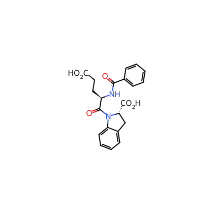 O=C(O)CC[C@@H](NC(=O)c1ccccc1)C(=O)N1c2ccccc2C[C@H]1C(=O)O